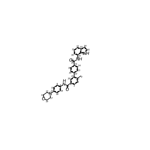 Cc1ccc(C(=O)Nc2ccc(N3CCOCC3)cc2)cc1-c1ccc(C(=O)Nc2cccc3cc[nH]c23)cc1